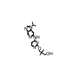 CC(C)n1cnc2cnc(Nc3ccnc(OCC(C)(C)CO)n3)cc21